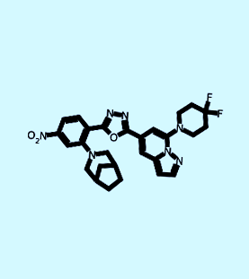 O=[N+]([O-])c1ccc(-c2nnc(-c3cc(N4CCC(F)(F)CC4)n4nccc4c3)o2)c(N2CC3CCC(C3)C2)c1